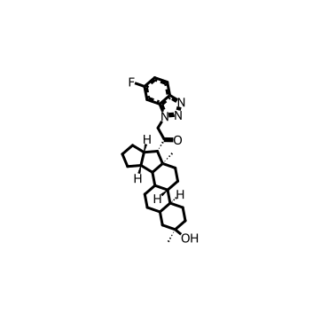 C[C@@]1(O)CC[C@H]2C(CCC3C4[C@@H]5CCC[C@@H]5[C@H](C(=O)Cn5nnc6ccc(F)cc65)[C@@]4(C)CC[C@@H]32)C1